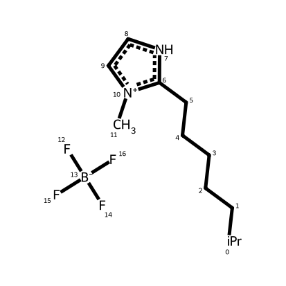 CC(C)CCCCCc1[nH]cc[n+]1C.F[B-](F)(F)F